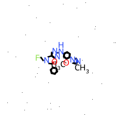 COc1cc(Nc2ncc3c(n2)O[C@H](c2ccccc2)CN(CCF)C3)ccc1-n1cnc(C)c1